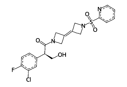 O=C([C@@H](CO)c1ccc(F)c(Cl)c1)N1CC(=C2CN(S(=O)(=O)c3ccccn3)C2)C1